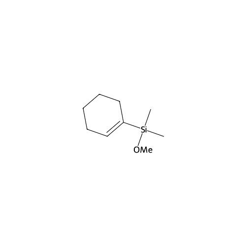 CO[Si](C)(C)C1=CCCCC1